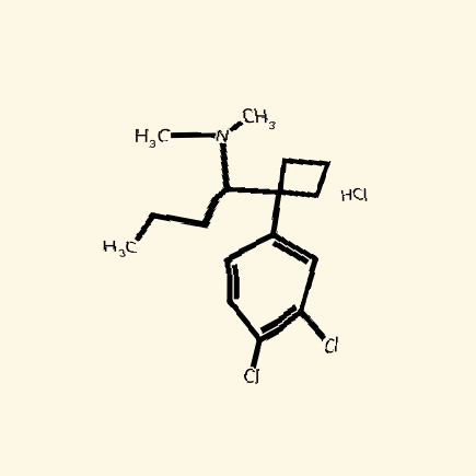 CCCC(N(C)C)C1(c2ccc(Cl)c(Cl)c2)CCC1.Cl